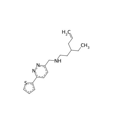 C=CCC(CC)CCNCc1ccc(-c2cccs2)nn1